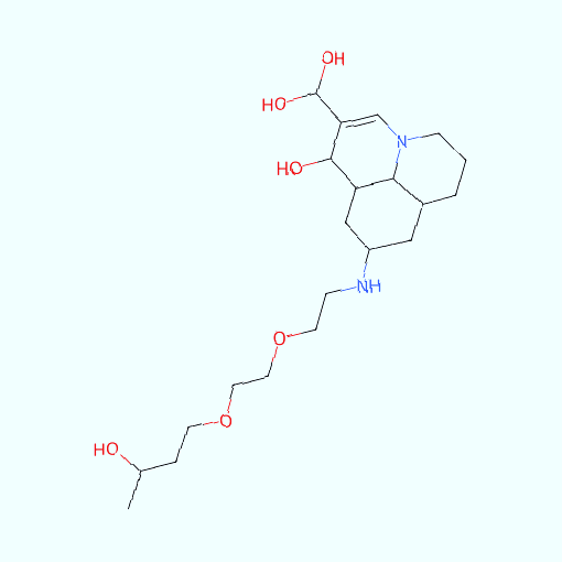 CC(O)CCOCCOCCNC1CC2CCCN3C=C(C(O)O)C(O)C(C1)C23